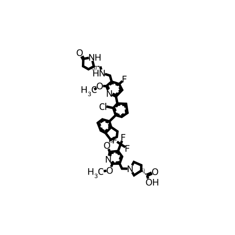 COc1nc(O[C@H]2CCc3c(-c4cccc(-c5cc(F)c(CNC[C@@H]6CCC(=O)N6)c(OC)n5)c4Cl)cccc32)c(C(F)(F)F)cc1CN1CC[C@H](C(=O)O)C1